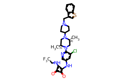 C[C@@H]1CN(c2ncc(Nc3c(NCC(F)(F)F)c(=O)c3=O)cc2Cl)[C@@H](C)CN1C1CCN(Cc2csc3ccccc23)CC1